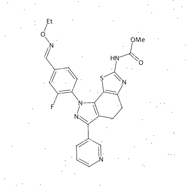 CCON=Cc1ccc(-n2nc(-c3cccnc3)c3c2-c2sc(NC(=O)OC)nc2CC3)c(F)c1